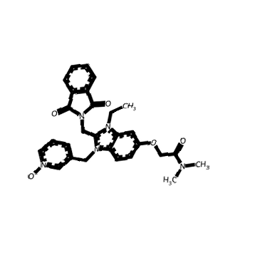 CCn1c(CN2C(=O)c3ccccc3C2=O)[n+](Cc2ccc[n+]([O-])c2)c2ccc(OCC(=O)N(C)C)cc21